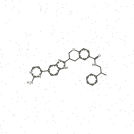 CC(CNC(=O)c1ccc2c(c1)CC(c1nc3cc(-c4ccnc(N)n4)ccc3[nH]1)CO2)c1ccccc1